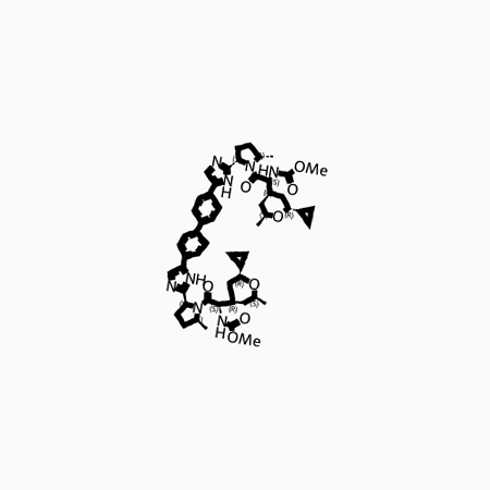 COC(=O)N[C@H](C(=O)N1[C@@H](C)CC[C@H]1c1ncc(-c2ccc(-c3ccc(-c4cnc([C@@H]5CC[C@H](C)N5C(=O)[C@@H](NC(=O)OC)[C@@H]5C[C@H](C)O[C@@H](C6CC6)C5)[nH]4)cc3)cc2)[nH]1)[C@@H]1C[C@H](C)O[C@@H](C2CC2)C1